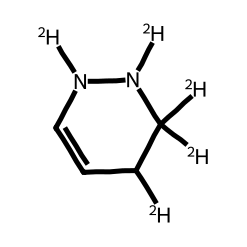 [2H]C1C=CN([2H])N([2H])C1([2H])[2H]